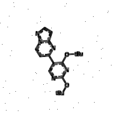 CC(C)(C)Oc1ncc(-c2ccn3nccc3n2)c(OC(C)(C)C)n1